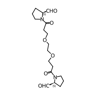 O=C[C@@H]1CCCN1C(=O)CCOCCOCCC(=O)N1CCC[C@H]1C=O